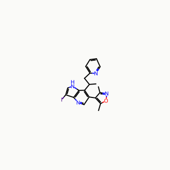 Cc1noc(C)c1-c1cnc2c(I)c[nH]c2c1C(C)Cc1ccccn1